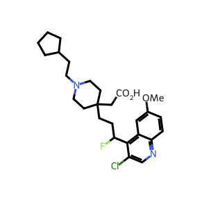 COc1ccc2ncc(Cl)c(C(F)CCC3(CC(=O)O)CCN(CCC4CCCC4)CC3)c2c1